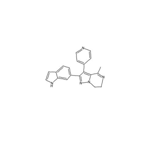 CC1=NCCn2nc(-c3ccc4cc[nH]c4c3)c(-c3ccncc3)c21